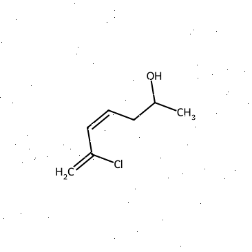 C=C(Cl)/C=C\CC(C)O